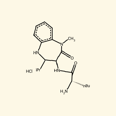 CCCC[C@H](N)C(=O)NC1C(=O)N(C)c2ccccc2NC1C(C)C.Cl